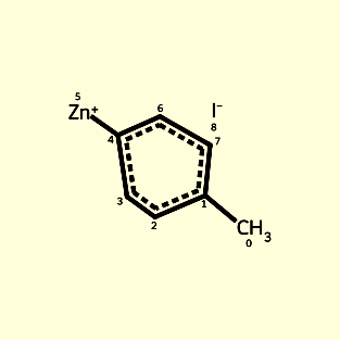 Cc1cc[c]([Zn+])cc1.[I-]